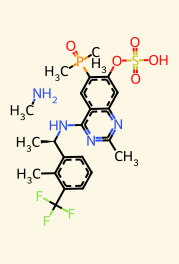 CN.Cc1nc(N[C@H](C)c2cccc(C(F)(F)F)c2C)c2cc(P(C)(C)=O)c(OS(=O)(=O)O)cc2n1